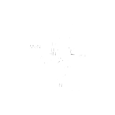 CC[C@H](C)[C@@H](C(=O)N[C@]1(C(=O)N[C@H](C(=O)NC)C(C)C)CCc2[nH]c3ccccc3c2C1)N(Cc1ccccc1)C(=O)O